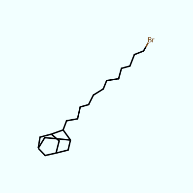 BrCCCCCCCCCCCCC1C2CC3CC(C2)CC1C3